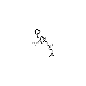 CC1CC1COC(=O)CSc1ncc(Cc2ccccc2)c(N)n1